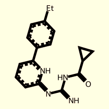 CCc1ccc(-c2ccc/c(=N/C(=N)NC(=O)C3CC3)[nH]2)cc1